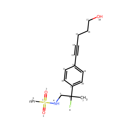 CCCS(=O)(=O)NCC(C)(F)c1ccc(C#CCCCO)cc1